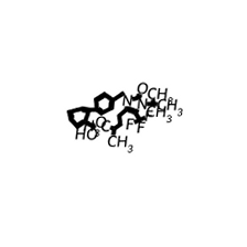 CC(C)CCc1c(C(F)(F)F)n(C(C)(C)C)c(=O)n1Cc1ccc(-c2ccccc2C(=O)O)cc1